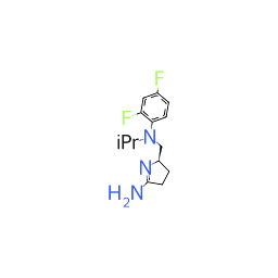 CC(C)N(C[C@H]1CCC(N)=N1)c1ccc(F)cc1F